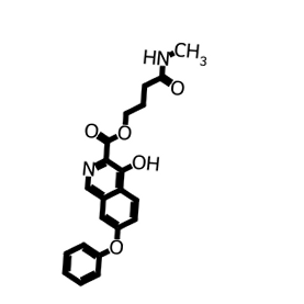 CNC(=O)CCCOC(=O)c1ncc2cc(Oc3ccccc3)ccc2c1O